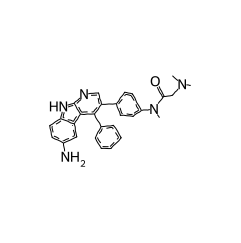 CN(C)CC(=O)N(C)c1ccc(-c2cnc3[nH]c4ccc(N)cc4c3c2-c2ccccc2)cc1